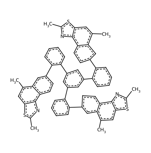 Cc1nc2c(cc(C)c3cc(-c4ccccc4-c4cc(-c5ccccc5-c5ccc6c(c5)c(C)cc5sc(C)nc56)cc(-c5ccccc5-c5ccc6c(c5)c(C)cc5sc(C)nc56)c4)ccc32)s1